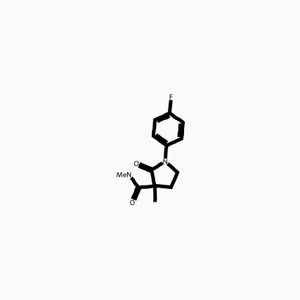 CNC(=O)C1(C)CCN(c2ccc(F)cc2)C1=O